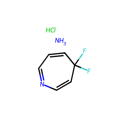 Cl.FC1(F)C=CC=NC=C1.N